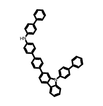 c1ccc(-c2ccc(Nc3ccc(-c4ccc(-c5ccc6c7ccccc7n(-c7ccc(-c8ccccc8)cc7)c6c5)cc4)cc3)cc2)cc1